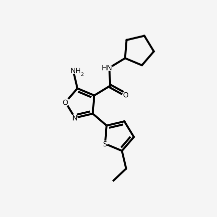 CCc1ccc(-c2noc(N)c2C(=O)NC2CCCC2)s1